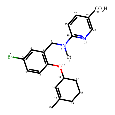 CCN(Cc1cc(Br)ccc1OC1C=C(C)CCC1)c1ccc(C(=O)O)cn1